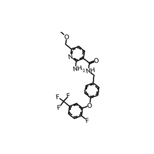 COCc1ccc(C(=O)NCc2ccc(Oc3cc(C(F)(F)F)ccc3F)cc2)c(N)n1